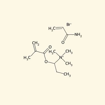 C=C(C)C(=O)OC(CC)[N+](C)(C)C.C=CC(N)=O.[Br-]